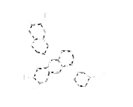 Fc1cc2ccc(-c3c4cc(F)c(F)cc4cc4c(-c5cccc(C(F)(F)F)c5)cccc34)cc2cc1F